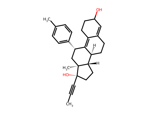 CC#C[C@]1(O)CC[C@H]2[C@@H]3CCC4=CC(O)CCC4=C3[C@@H](c3ccc(C)cc3)C[C@@]21C